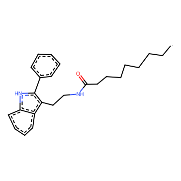 [CH2]CCCCCCCC(=O)NCCc1c(-c2ccccc2)[nH]c2ccccc12